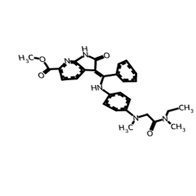 CCN(C)C(=O)CN(C)c1ccc(NC(=C2C(=O)Nc3nc(C(=O)OC)ccc32)c2ccccc2)cc1